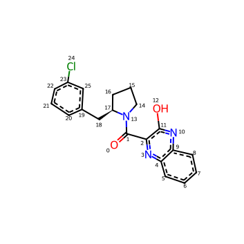 O=C(c1nc2ccccc2nc1O)N1CCC[C@@H]1Cc1cccc(Cl)c1